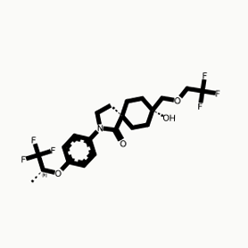 C[C@@H](Oc1ccc(N2CC[C@]3(CC[C@](O)(COCC(F)(F)F)CC3)C2=O)cc1)C(F)(F)F